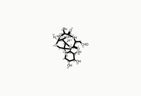 CCC(C)C1N[C@@H]2OC[C@@H](OC(=O)C(CC=O)NC1=O)[C@H](O[C@@H]1OC[C@@H](O)[C@H](O)[C@@H]1O)[C@@H]2O